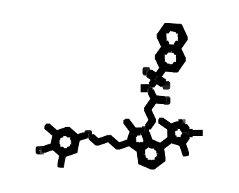 Cc1cc(OCCCc2c(C)n(CCC(=O)NS(=O)(=O)c3ccc4ccccc4c3)c3c(-c4c(C)nn(C)c4C)cccc23)cc(C)c1Cl